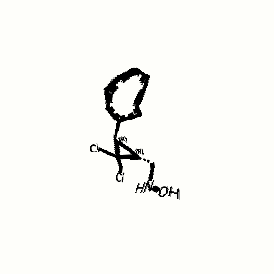 ONC[C@H]1[C@H](c2ccccc2)C1(Cl)Cl